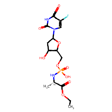 CCOC(=O)[C@H](C)NP(=O)(O)OCC1OC(n2cc(F)c(=O)[nH]c2=O)CC1O